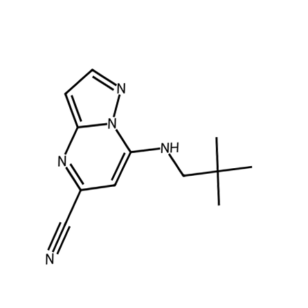 CC(C)(C)CNc1cc(C#N)nc2ccnn12